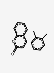 Cc1ccccc1C.O=c1ccc2ccccc2o1